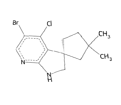 CC1(C)CC[C@@]2(CNc3ncc(Br)c(Cl)c32)C1